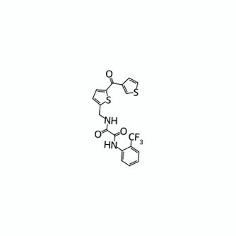 O=C(NCc1ccc(C(=O)c2ccsc2)s1)C(=O)Nc1ccccc1C(F)(F)F